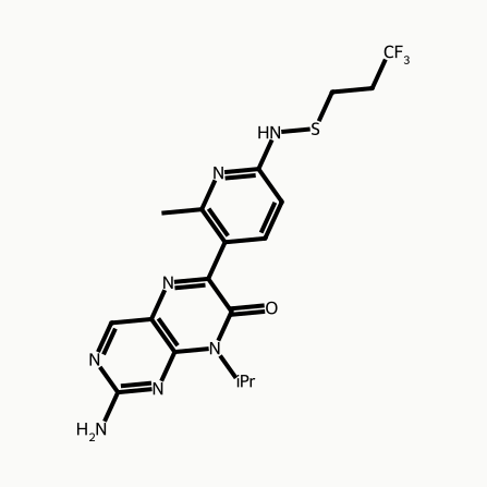 Cc1nc(NSCCC(F)(F)F)ccc1-c1nc2cnc(N)nc2n(C(C)C)c1=O